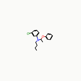 CCCCN(c1cccc(Cl)c1)C(C)Oc1ccccc1